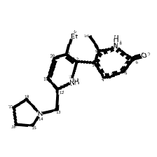 CCC1=C(c2ccc(=O)[nH]c2C)NC(CN2CCCC2)C=C1